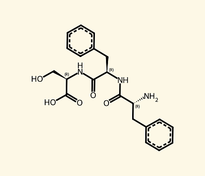 N[C@H](Cc1ccccc1)C(=O)N[C@H](Cc1ccccc1)C(=O)N[C@H](CO)C(=O)O